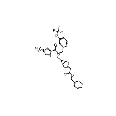 Cn1cnc(C(=O)N(Cc2cccc(OC(F)(F)F)c2)CC2C3CN(CC(=O)OCc4ccccc4)CC32)c1